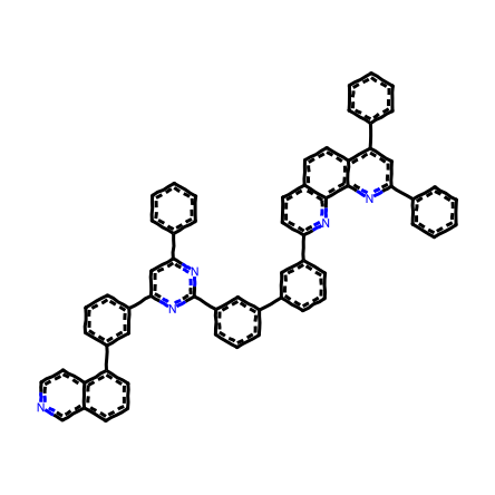 c1ccc(-c2cc(-c3cccc(-c4cccc5cnccc45)c3)nc(-c3cccc(-c4cccc(-c5ccc6ccc7c(-c8ccccc8)cc(-c8ccccc8)nc7c6n5)c4)c3)n2)cc1